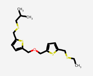 CCSCc1ccc(COCc2ccc(CSCC(C)C)s2)s1